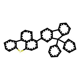 c1ccc(C2(c3ccccc3)c3ccccc3-c3ccc(-c4ccc5c6c(cccc46)-c4ccccc4S5)cc32)cc1